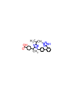 CC(C)c1nc(C(C)C2CCC(C(=O)O)CC2)n(Cc2ccc(-c3ccccc3-c3nnn[nH]3)cc2)n1